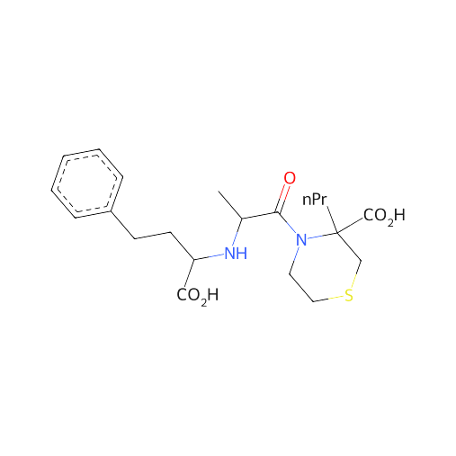 CCCC1(C(=O)O)CSCCN1C(=O)C(C)NC(CCc1ccccc1)C(=O)O